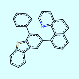 c1ccc(-c2cc(-c3cccc4ccc5cccnc5c34)cc3c2sc2ccccc23)cc1